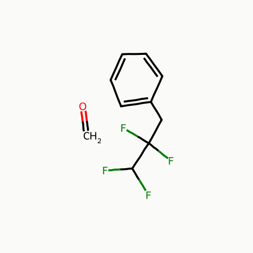 C=O.FC(F)C(F)(F)Cc1ccccc1